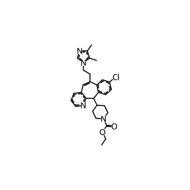 CCOC(=O)N1CCC(C2c3ccc(Cl)cc3C(CCn3cnc(C)c3C)=Cc3cccnc32)CC1